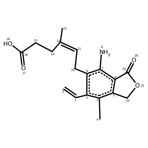 C=Cc1c(C)c2c(c(N)c1CC=C(C)CCC(=O)O)C(=O)OC2